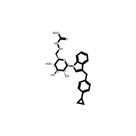 COC(=O)NNC[C@H]1O[C@@H](n2cc(Cc3ccc(C4CC4)cc3)c3ccccc32)[C@H](O)[C@@H](O)[C@@H]1O